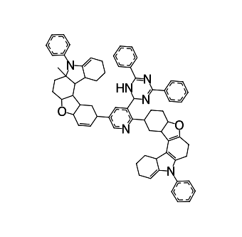 CC12CCC3OC4C=CC(c5cnc(C6CCC7OC8=C(C9=C(CC8)N(c8ccccc8)C8=CCCCC89)C7C6)c(C6N=C(c7ccccc7)N=C(c7ccccc7)N6)c5)CC4C3C1C1CCCC=C1N2c1ccccc1